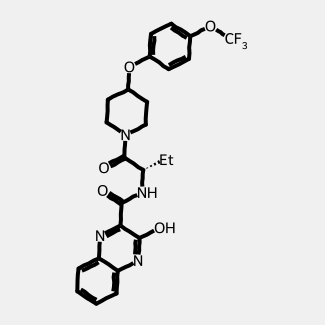 CC[C@H](NC(=O)c1nc2ccccc2nc1O)C(=O)N1CCC(Oc2ccc(OC(F)(F)F)cc2)CC1